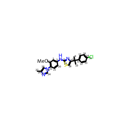 COc1cc(Nc2nc(C(C)(C)c3ccc(Cl)cc3)cs2)ccc1-n1cnc(C)c1